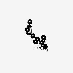 CC1(C)c2ccccc2-c2c1cc(-c1ccc(-c3ccc(-c4ccc5ccc6cc(-c7ccccc7)cnc6c5n4)cc3)c3ccccc13)c1c2oc2ccccc21